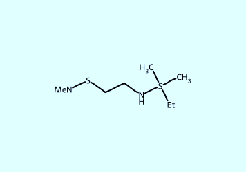 CCS(C)(C)NCCSNC